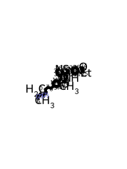 C=C(/C=C\C=C/C)CCc1ccc(N2C(=O)Nc3c(N4CCN(C(=O)CC)CC4)sc4nccc2c34)c(C)c1